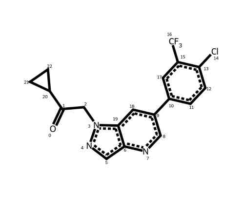 O=C(Cn1ncc2ncc(-c3ccc(Cl)c(C(F)(F)F)c3)cc21)C1CC1